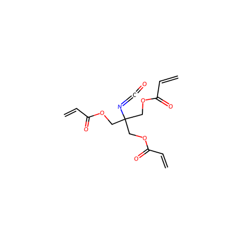 C=CC(=O)OCC(COC(=O)C=C)(COC(=O)C=C)N=C=O